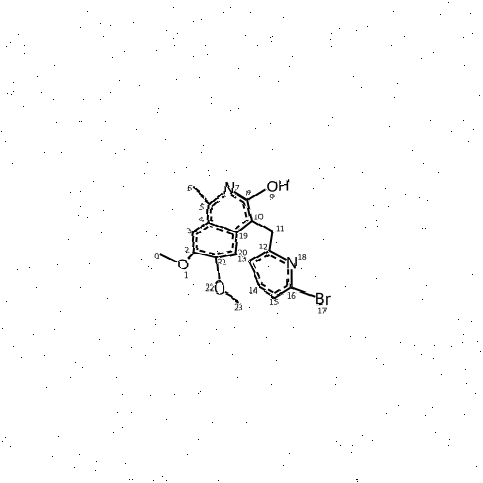 COc1cc2c(C)nc(O)c(Cc3cccc(Br)n3)c2cc1OC